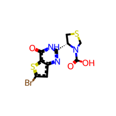 O=C(O)N1CSC[C@H]1c1nc2cc(Br)sc2c(=O)[nH]1